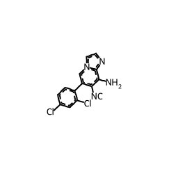 [C-]#[N+]c1c(-c2ccc(Cl)cc2Cl)cn2ccnc2c1N